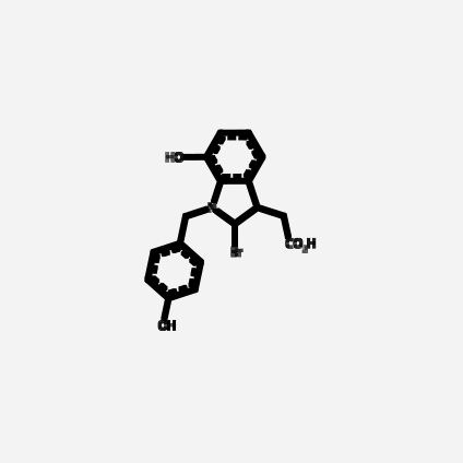 O=C(O)CC1c2cccc(O)c2N(Cc2ccc(O)cc2)C1Br